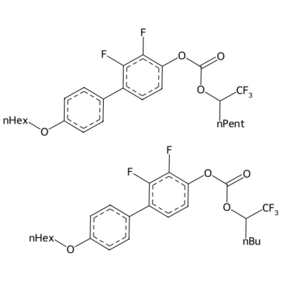 CCCCCCOc1ccc(-c2ccc(OC(=O)OC(CCCC)C(F)(F)F)c(F)c2F)cc1.CCCCCCOc1ccc(-c2ccc(OC(=O)OC(CCCCC)C(F)(F)F)c(F)c2F)cc1